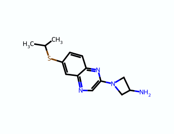 CC(C)Sc1ccc2nc(N3CC(N)C3)cnc2c1